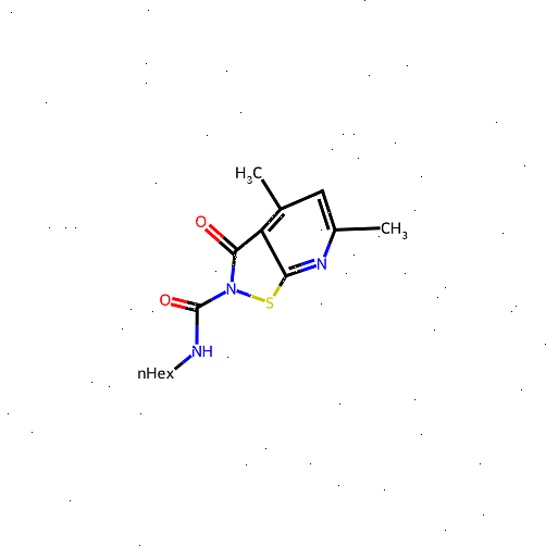 CCCCCCNC(=O)n1sc2nc(C)cc(C)c2c1=O